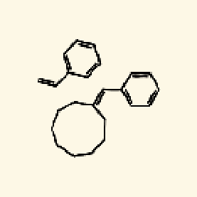 C(=C1CCCCCCCC1)c1ccccc1.C=Cc1ccccc1